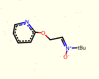 CC(C)(C)[N+]([O-])=CCOc1ccccn1